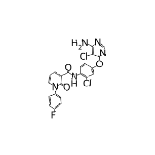 Nc1ncnc(Oc2ccc(NC(=O)c3cccn(-c4ccc(F)cc4)c3=O)c(Cl)c2)c1Cl